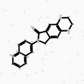 O=C1c2cc3c(cc2CN1c1ccc2ncccc2c1)OCCO3